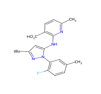 Cc1ccc(F)c(-n2nc(C(C)(C)C)cc2Nc2nc(C)ccc2C(=O)O)c1